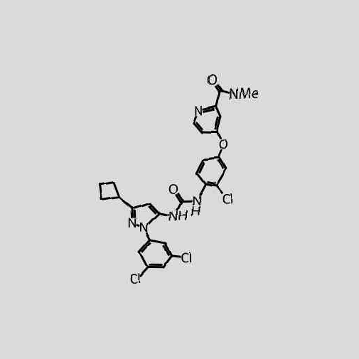 CNC(=O)c1cc(Oc2ccc(NC(=O)Nc3cc(C4CCC4)nn3-c3cc(Cl)cc(Cl)c3)c(Cl)c2)ccn1